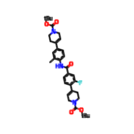 Cc1cc(C2=CCN(C(=O)OC(C)(C)C)CC2)ccc1NC(=O)c1ccc(C2=CCN(C(=O)OC(C)(C)C)CC2)c(F)c1